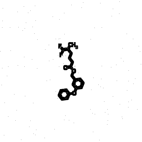 CC(CCCC(=O)OCc1cccc(Oc2ccccc2)c1)=C(F)F